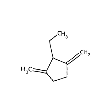 C=C1CCC(=C)C1CC